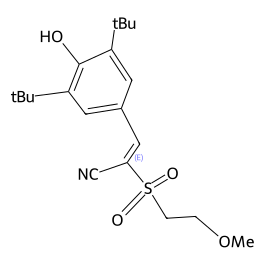 COCCS(=O)(=O)/C(C#N)=C/c1cc(C(C)(C)C)c(O)c(C(C)(C)C)c1